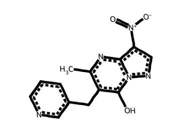 Cc1nc2c([N+](=O)[O-])cnn2c(O)c1Cc1cccnc1